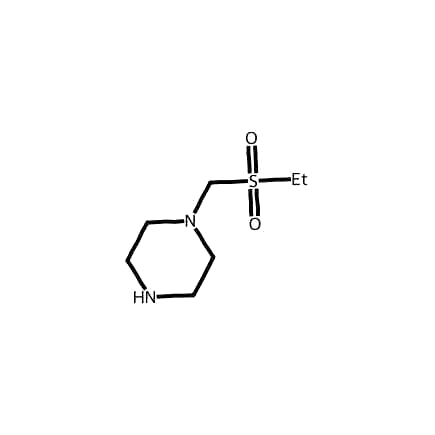 CCS(=O)(=O)CN1CCNCC1